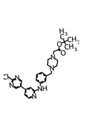 CC(C)(C)OC(=O)CN1CCN(Cc2cccc(Nc3cc(-c4cnc(Cl)nc4)ccn3)c2)CC1